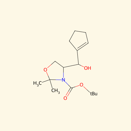 CC(C)(C)OC(=O)N1C(C(O)C2=CCCC2)COC1(C)C